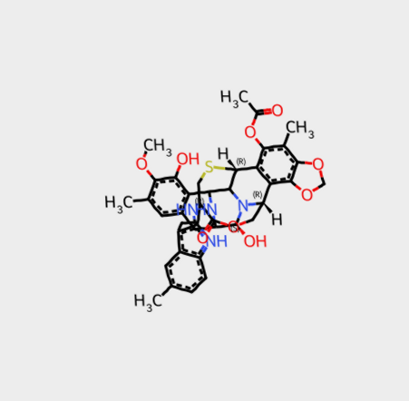 COc1c(C)cc2c(c1O)C1NC(C2)[C@H](O)N2C1[C@@H]1SC[C@]3(NCCc4c3[nH]c3ccc(C)cc43)C(=O)OC[C@H]2c2c3c(c(C)c(OC(C)=O)c21)OCO3